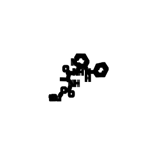 CC(NC(=O)OC(C)(C)C)C(=O)Nc1ncccc1Nc1ccccc1